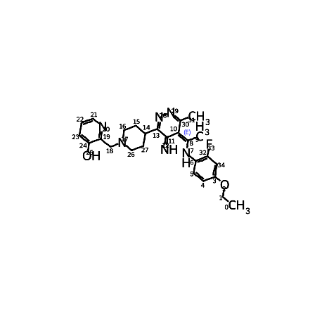 CCOc1ccc(N/C(C)=C2\C(=N)C(C3CCN(Cc4ncccc4O)CC3)=NN=C2C)c(F)c1